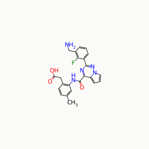 Cc1ccc(CC(=O)O)c(NC(=O)c2nc(-c3cccc(CN)c3F)nn3cccc23)c1